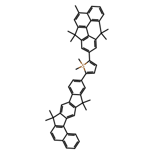 Cc1cc2c3c4c(cccc14)C(C)(C)c1cc(C4=CC=C(c5ccc6c(c5)C(C)(C)c5cc7c(cc5-6)C(C)(C)c5ccc6ccccc6c5-7)S4(C)C)cc(c1-3)C2(C)C